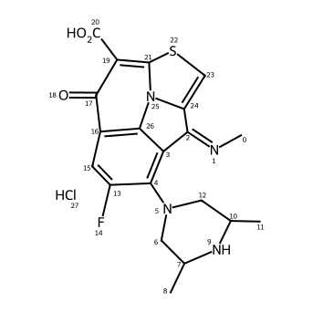 CN=c1c2c(N3CC(C)NC(C)C3)c(F)cc3c(=O)c(C(=O)O)c4scc1n4c32.Cl